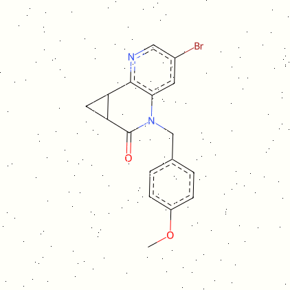 COc1ccc(CN2C(=O)C3CC3c3ncc(Br)cc32)cc1